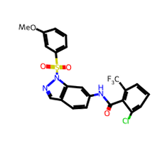 COc1cccc(S(=O)(=O)n2ncc3ccc(NC(=O)c4c(Cl)cccc4C(F)(F)F)cc32)c1